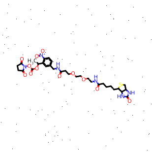 CC(OC(=O)ON1C(=O)CCC1=O)c1cc(CNC(=O)CCOCCOCCNC(=O)CCCCC2SCC3NC(=O)NC32)ccc1[N+](=O)[O-]